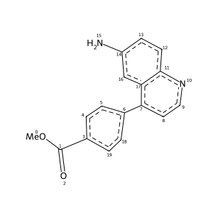 COC(=O)c1ccc(-c2ccnc3ccc(N)cc23)cc1